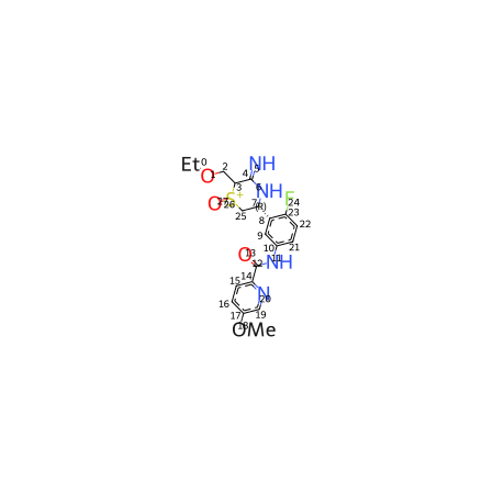 CCOCC1C(=N)N[C@H](c2cc(NC(=O)c3ccc(OC)cn3)ccc2F)C[S+]1[O-]